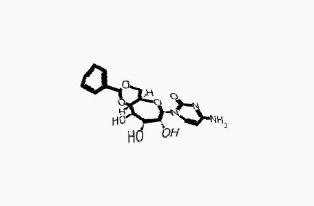 Nc1ccn([C@@H]2O[C@@H]3COC(c4ccccc4)O[C@H]3[C@H](O)[C@@H](O)[C@H]2O)c(=O)n1